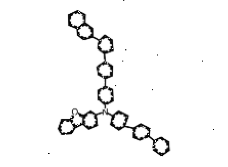 c1ccc(-c2ccc(-c3ccc(N(c4ccc(-c5ccc(-c6cccc(-c7ccc8ccccc8c7)c6)cc5)cc4)c4ccc5c(c4)oc4ccccc45)cc3)cc2)cc1